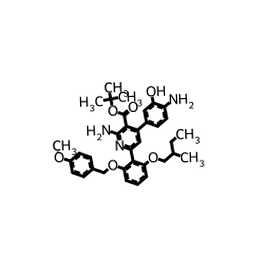 CCC(C)COc1cccc(OCc2ccc(OC)cc2)c1-c1cc(-c2ccc(N)c(O)c2)c(C(=O)OC(C)(C)C)c(N)n1